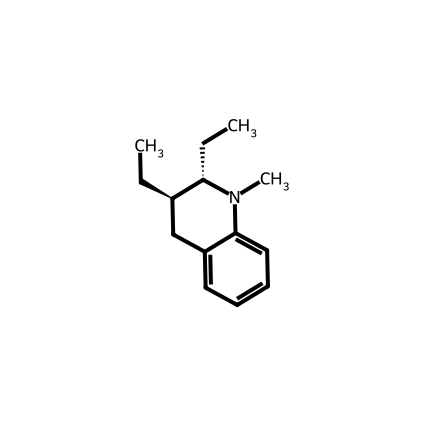 CC[C@@H]1Cc2ccccc2N(C)[C@H]1CC